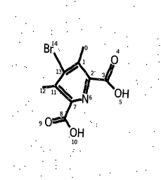 Cc1c(C(=O)O)nc(C(=O)O)c(C)c1Br